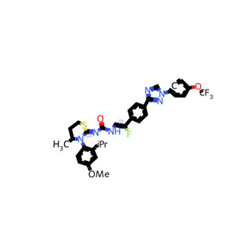 COc1ccc(N2/C(=N/C(=O)N/C=C(\F)c3ccc(-c4ncn(-c5ccc(OC(F)(F)F)cc5)n4)cc3)SCCC2C)c(C(C)C)c1